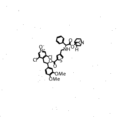 COc1ccc(C(Cc2c(Cl)c[n+]([O-])cc2Cl)OC(=O)c2cc(CN[C@H](C(=O)O[C@H]3CN4CCC3CC4)c3ccccc3)cs2)cc1OC